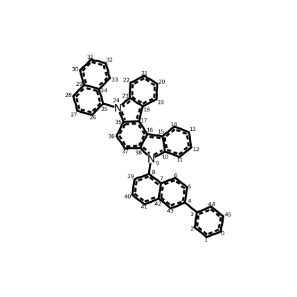 c1ccc(-c2ccc3c(-n4c5ccccc5c5c6c7ccccc7n(-c7cccc8ccccc78)c6ccc54)cccc3c2)cc1